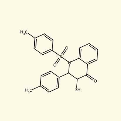 Cc1ccc(C2C(S)C(=O)c3ccccc3N2S(=O)(=O)c2ccc(C)cc2)cc1